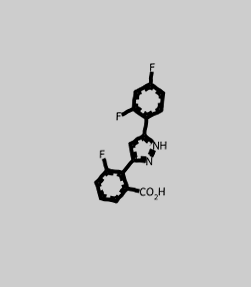 O=C(O)c1cccc(F)c1-c1cc(-c2ccc(F)cc2F)[nH]n1